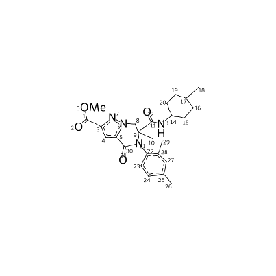 COC(=O)c1cc2n(n1)CC(C)(C(=O)NC1CCC(C)CC1)N(c1ccc(C)cc1C)C2=O